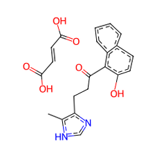 Cc1[nH]cnc1CCC(=O)c1c(O)ccc2ccccc12.O=C(O)C=CC(=O)O